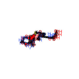 CC[C@H](C)[C@@H]1NC(=O)CNC(=O)C2Cc3c([nH]c4cc(OCCCSSC(C)CCNC(=O)[C@H](Cc5ccccc5)NC(=O)[C@H](Cc5ccccc5)NC(=O)CCCCCCCNC(=O)CCC(NC(=O)NC(CCC(=O)O)C(=O)O)C(=O)O)ccc34)[S+]([O-])CC(NC(=O)CNC1=O)C(=O)N[C@@H](CCC(N)=O)C(=O)N1C[C@H](O)CC1(C=O)N[C@@H]([C@@H](C)[C@@H](O)CO)C(=O)N2